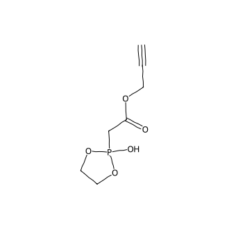 C#CCOC(=O)C[P]1(O)OCCO1